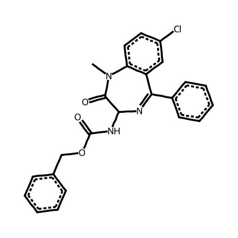 CN1C(=O)C(NC(=O)OCc2ccccc2)N=C(c2ccccc2)c2cc(Cl)ccc21